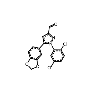 O=Cc1cc(-c2ccc3c(c2)OCO3)n(-c2cc(Cl)ccc2Cl)n1